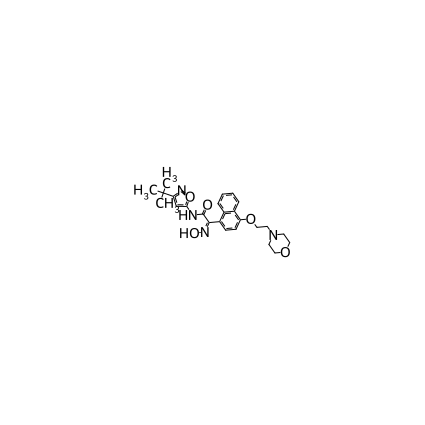 CC(C)(C)c1cc(NC(=O)/C(=N\O)c2ccc(OCCN3CCOCC3)c3ccccc23)on1